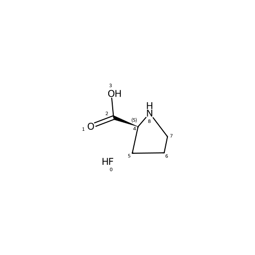 F.O=C(O)[C@@H]1CCCN1